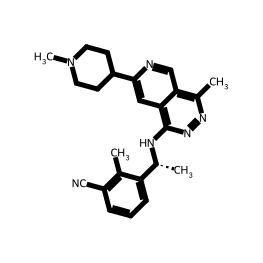 Cc1c(C#N)cccc1[C@@H](C)Nc1nnc(C)c2cnc(C3CCN(C)CC3)cc12